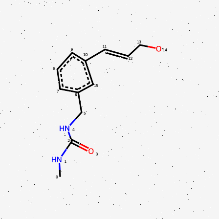 CNC(=O)NCc1cccc(/C=C/C[O])c1